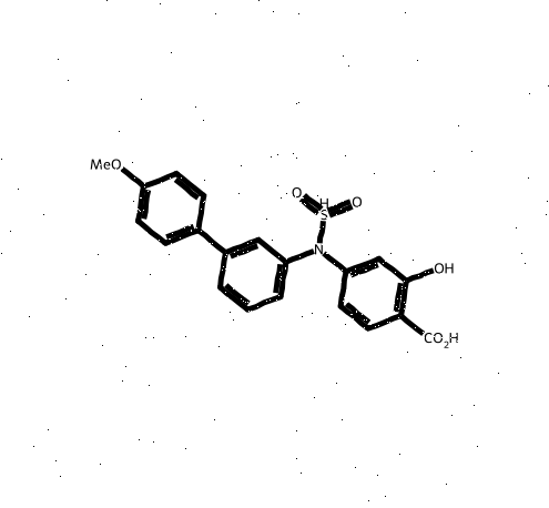 COc1ccc(-c2cccc(N(c3ccc(C(=O)O)c(O)c3)[SH](=O)=O)c2)cc1